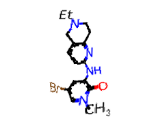 CCN1CCc2nc(Nc3cc(Br)cn(C)c3=O)ccc2C1